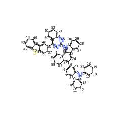 C1=Cc2c(c(-c3ccc4c5ccccc5n(-c5ccccc5)c4c3)cc3c4ccccc4n(-c4nc(-c5ccc6sc7ccccc7c6c5)c5ccccc5n4)c23)CC1